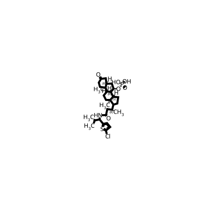 CC(C)C(NC(=O)C[C@@H](C)C1CC[C@H]2[C@@H]3[C@H](OP(=O)(O)O)C[C@@H]4CC(=O)CC[C@]4(C)[C@H]3CC[C@]12C)c1ccc(Cl)s1